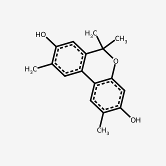 Cc1cc2c(cc1O)OC(C)(C)c1cc(O)c(C)cc1-2